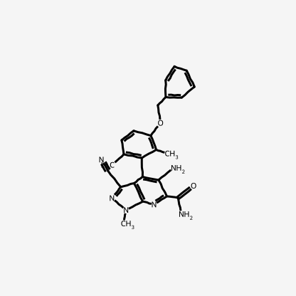 Cc1ccc(OCc2ccccc2)c(C)c1-c1c(N)c(C(N)=O)nc2c1c(C#N)nn2C